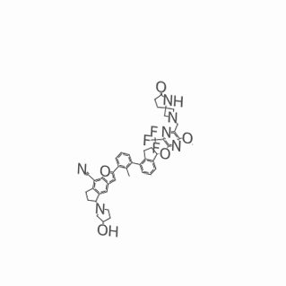 COc1nc(O[C@H]2CCc3c(-c4cccc(-c5cc6cc7c(c(C#N)c6o5)CC[C@H]7N5CC[C@@H](O)C5)c4C)cccc32)c(C(F)(F)F)nc1CN1CC2(CCC(=O)N2)C1